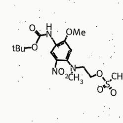 COc1cc(N(C)CCOS(C)(=O)=O)c([N+](=O)[O-])cc1NC(=O)OC(C)(C)C